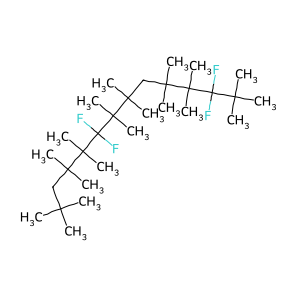 CC(C)(C)CC(C)(C)C(C)(C)C(F)(F)C(C)(C)C(C)(C)CC(C)(C)C(C)(C)C(F)(F)C(C)(C)C